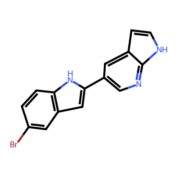 Brc1ccc2[nH]c(-c3cnc4[nH]ccc4c3)cc2c1